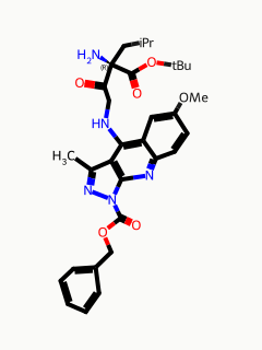 COc1ccc2nc3c(c(C)nn3C(=O)OCc3ccccc3)c(NCC(=O)[C@](N)(CC(C)C)C(=O)OC(C)(C)C)c2c1